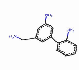 NCc1cc(N)cc(-c2ccccc2N)c1